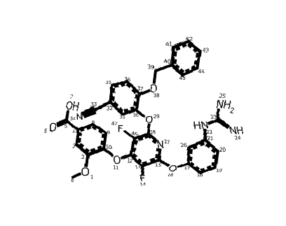 COc1cc(C(=O)O)ccc1Oc1c(F)c(Oc2cccc(NC(=N)N)c2)nc(Oc2cc(C#N)ccc2OCc2ccccc2)c1F